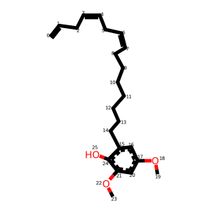 C=CC/C=C\C/C=C\CCCCCCCc1cc(OC)cc(OC)c1O